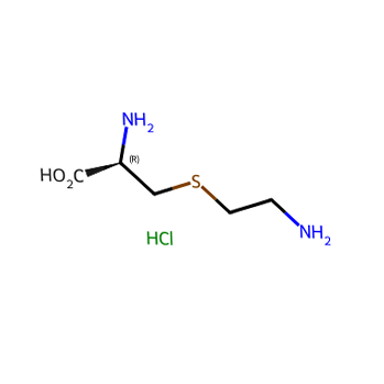 Cl.NCCSC[C@H](N)C(=O)O